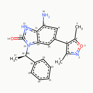 Cc1noc(C)c1-c1cc(N)c2[nH]c(=O)n([C@H](C)c3ccccc3)c2c1